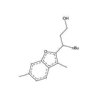 CCCCC(CCO)c1oc2cc(C)ccc2c1C